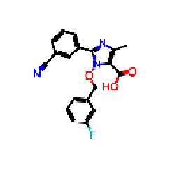 Cc1nc(-c2cccc(C#N)c2)n(OCc2cccc(F)c2)c1C(=O)O